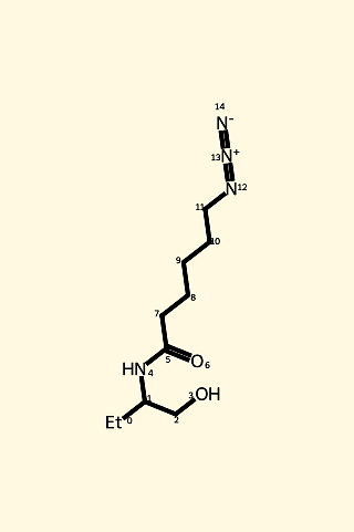 CCC(CO)NC(=O)CCCCCN=[N+]=[N-]